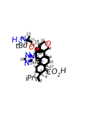 CC(C)[C@@H](C)[C@@]1(C)CC[C@]2(C)[C@H]3CC[C@@H]4C5(COC[C@]4(C)[C@@H](OC[C@](C)(N)C(C)(C)C)[C@H](n4cncn4)C5)C3=CC[C@@]2(C)[C@@H]1C(=O)O